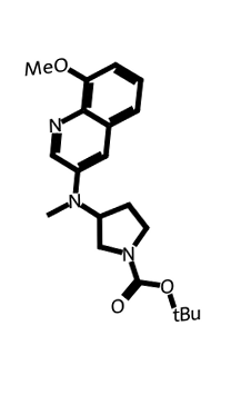 COc1cccc2cc(N(C)C3CCN(C(=O)OC(C)(C)C)C3)cnc12